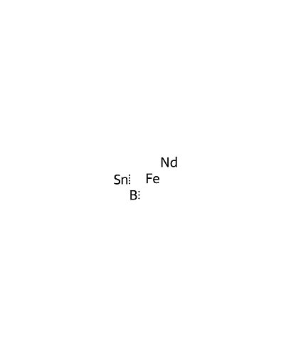 [B].[Fe].[Nd].[Sn]